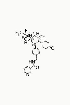 C[C@]12C[C@H](c3ccc(CNC(=O)c4cccnc4)cc3)C3=C4CCC(=O)C=C4CC[C@H]3[C@@H]1CC[C@@]2(O)C(F)(F)C(F)(F)F